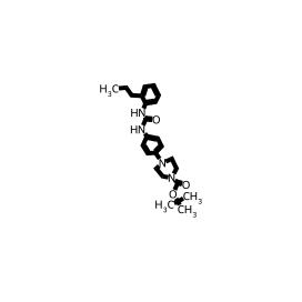 CCCc1ccccc1NC(=O)Nc1ccc(N2CCN(C(=O)OC(C)(C)C)CC2)cc1